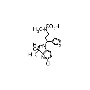 CN(CCC(c1ccsc1)N1CC(C)(C)c2nc(Cl)ccc21)C(=O)O